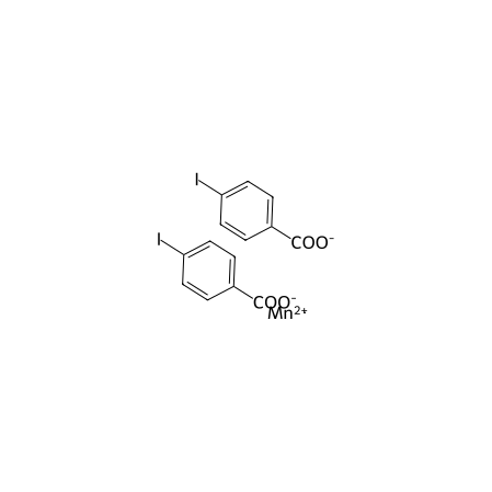 O=C([O-])c1ccc(I)cc1.O=C([O-])c1ccc(I)cc1.[Mn+2]